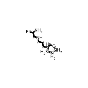 CCC(N)CNCCC[SiH]1CO[SiH2][SiH2][SiH2]1